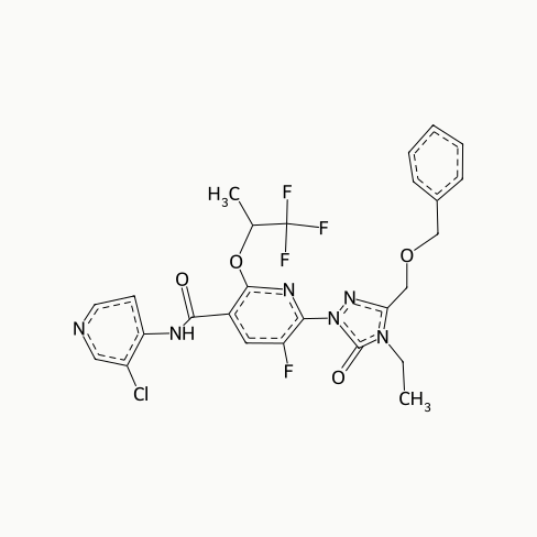 CCn1c(COCc2ccccc2)nn(-c2nc(OC(C)C(F)(F)F)c(C(=O)Nc3ccncc3Cl)cc2F)c1=O